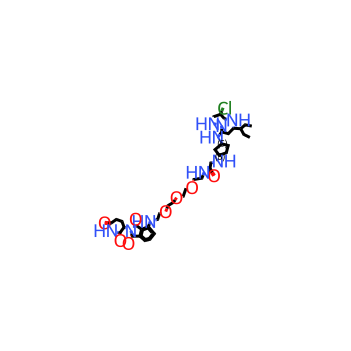 CCC(CC)C1CC(N[C@H]2CC[C@H](NCC(=O)NCCOCCOCCOCCNc3cccc4c3C(=O)N(C3CCC(=O)NC3=O)C4=O)C2)N2NCC(Cl)C2N1